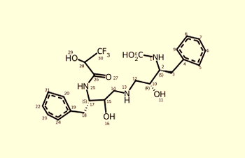 O=C(O)N[C@@H](Cc1ccccc1)[C@H](O)CNCC(O)[C@H](Cc1ccccc1)NC(=O)C(O)C(F)(F)F